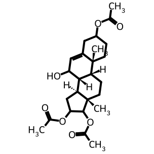 CC(=O)OC1CC[C@@]2(C)C(=CC(O)[C@@H]3[C@H]2CC[C@]2(C)C(OC(C)=O)C(OC(C)=O)C[C@@H]32)C1